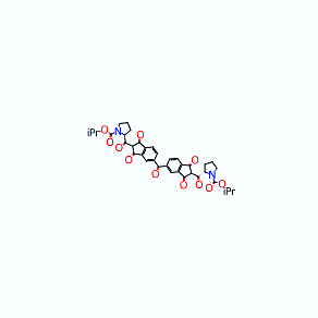 CC(C)OC(=O)N1CCC[C@H]1C(=O)C1C(=O)c2ccc(C(=O)c3ccc4c(c3)C(=O)C(C(=O)[C@@H]3CCCN3C(=O)OC(C)C)C4=O)cc2C1=O